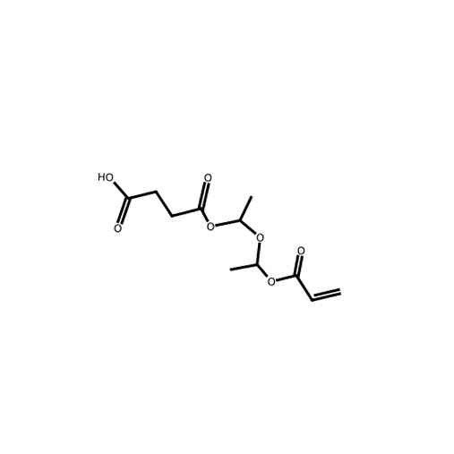 C=CC(=O)OC(C)OC(C)OC(=O)CCC(=O)O